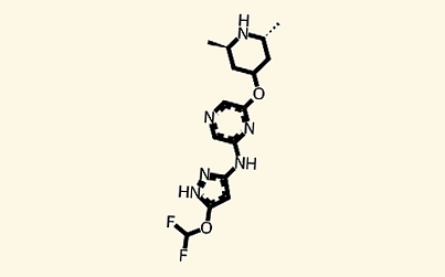 C[C@@H]1CC(Oc2cncc(Nc3cc(OC(F)F)[nH]n3)n2)C[C@@H](C)N1